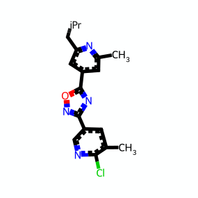 Cc1cc(-c2nc(-c3cnc(Cl)c(C)c3)no2)cc(CC(C)C)n1